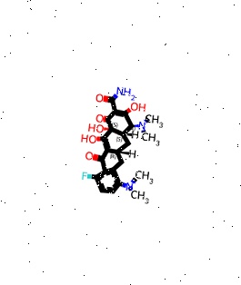 CN(C)c1ccc(F)c2c1C[C@H]1C[C@H]3[C@H](N(C)C)C(O)=C(C(N)=O)C(=O)[C@@]3(O)C(O)=C1C2=O